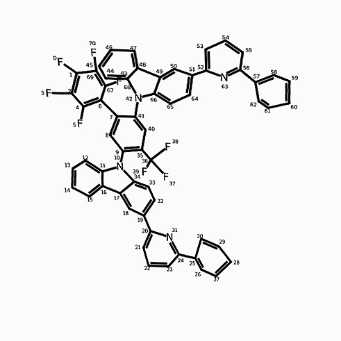 Fc1c(F)c(F)c(-c2cc(-n3c4ccccc4c4cc(-c5cccc(-c6ccccc6)n5)ccc43)c(C(F)(F)F)cc2-n2c3ccccc3c3cc(-c4cccc(-c5ccccc5)n4)ccc32)c(F)c1F